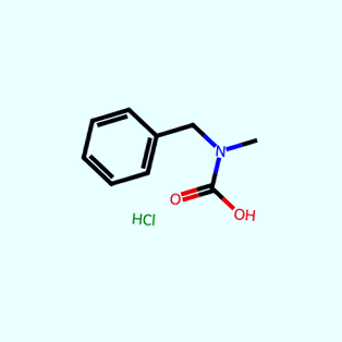 CN(Cc1ccccc1)C(=O)O.Cl